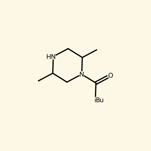 CCC(C)C(=O)N1CC(C)NCC1C